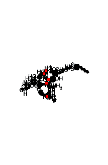 CCCCCCc1ccc(S(=O)(=O)NCCOCCNCc2c(O)cc3c(c2C)-c2cc(ccc2O)[C@H]2NC(=O)[C@@H]4NC(=O)[C@H](CC(N)=O)NC(=O)[C@H](NC(=O)[C@@H](CC(C)C)NC)[C@H](O)c5ccc(c(C)c5)Oc5cc4cc(c5O[C@@H]4O[C@H](CO)[C@@H](O)[C@H](O)[C@H]4O[C@H]4C[C@]5(C)NC(=O)O[C@@H]5[C@H](C)O4)Oc4ccc(cc4Cl)[C@@H](O)[C@H](NC2=O)C(=O)N[C@@H]3C(=O)O)cc1